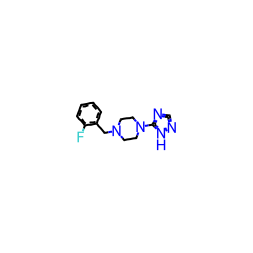 Fc1ccccc1CN1CCN(c2ncn[nH]2)CC1